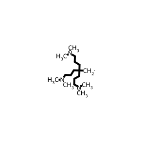 [CH2]C(CCCN(C)C)(CCCN(C)C)CCCN(C)C